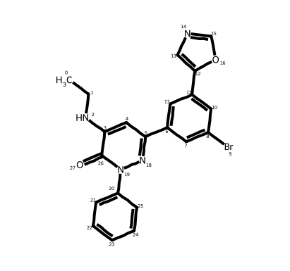 CCNc1cc(-c2cc(Br)cc(-c3cnco3)c2)nn(-c2ccccc2)c1=O